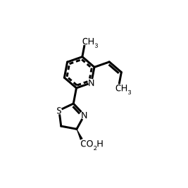 C/C=C\c1nc(C2=N[C@@H](C(=O)O)CS2)ccc1C